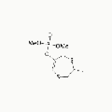 COP(=O)(OC)OC1=CSCC(C)SC1